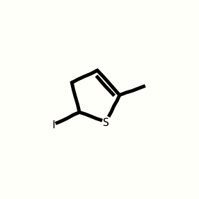 CC1=CCC(I)S1